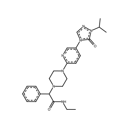 CCNC(=O)C(c1ccccc1)N1CCN(c2ccc(-n3cnn(C(C)C)c3=O)cn2)CC1